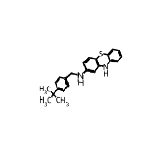 CC(C)(C)c1ccc(CNc2ccc3c(c2)Nc2ccccc2S3)cc1